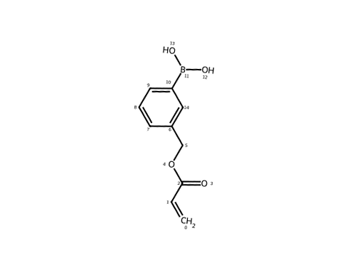 C=CC(=O)OCc1cccc(B(O)O)c1